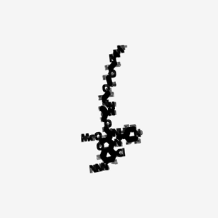 COC(=O)C1=C(COCc2cn(CCOCCOCCN=[N+]=[N-])nn2)NC(c2ccncc2)=NC1c1ccc(N=[N+]=[N-])cc1Cl